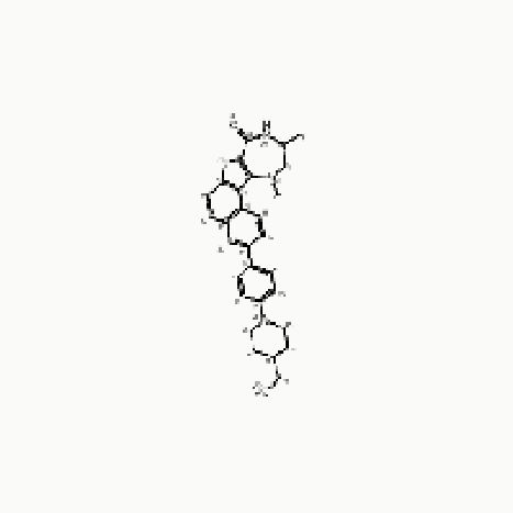 CC1CN(C)c2c(sc3ccc4nc(-c5ccc(N6CCC(CO)CC6)cc5)ccc4c23)C(=O)N1